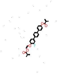 C=C(C)C(=O)O/C=C\Oc1ccc(-c2ccc(-c3ccc(OC(=O)C(=C)C)cc3)cc2)cc1F